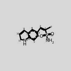 CC(=Cc1ccc2c(c1)C=CCN2)S(N)(=O)=O